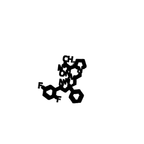 CC(=O)N1N=C(c2cc(F)ccc2F)C[C@@]1(CCCN1CCCC1c1nonc1C)c1ccccc1